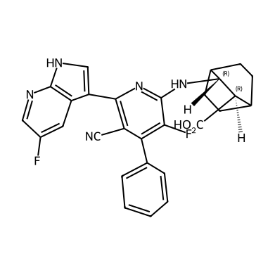 N#Cc1c(-c2c[nH]c3ncc(F)cc23)nc(N[C@@H]2C3CCC(CC3)[C@H]2C(=O)O)c(F)c1-c1ccccc1